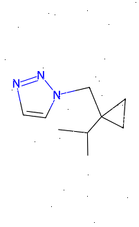 CC(C)C1(Cn2ccnn2)CC1